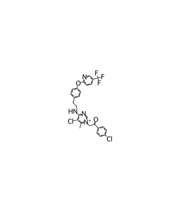 Cc1c(Cl)c(NCCc2ccc(Oc3ccc(C(F)(F)F)cn3)cc2)nc[n+]1CC(=O)c1ccc(Cl)cc1